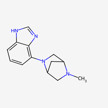 CN1CC2CC1CN2c1cccc2[nH]cnc12